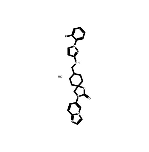 Cl.O=C1OC2(CCC(CNc3ccn(-c4ccccc4F)n3)CC2)CN1c1ccc2nccn2c1